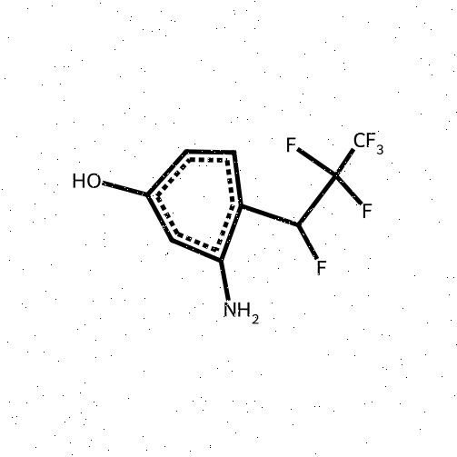 Nc1cc(O)ccc1C(F)C(F)(F)C(F)(F)F